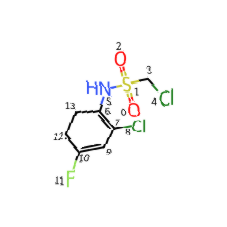 O=S(=O)(CCl)NC1=C(Cl)C=C(F)[CH]C1